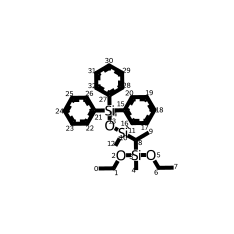 CCO[Si](C)(OCC)C(C)[Si](C)(C)O[Si](c1ccccc1)(c1ccccc1)c1ccccc1